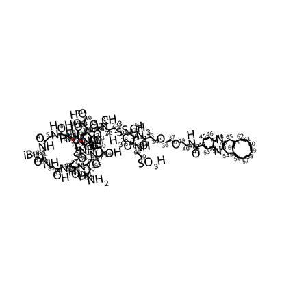 CC[C@H](C)[C@@H]1NC(=O)CNC(=O)[C@H]2Cc3c([nH]c4cc(OC(=O)N(C)CCSSC(C)(C)C(NC(=O)CCOCCOCCNC(=O)c5ccc6nc7c(nc6c5)Cc5cccccccc(c5)C7)C(=O)NCCS(=O)(=O)O)ccc34)[S+]([O-])C[C@H](NC(=O)CNC1=O)C(=O)NC(CC(N)=O)C(=O)N1C[C@H](O)C[C@H]1C(=O)N[C@@H]([C@@H](C)[C@@H](O)CO)C(=O)N2